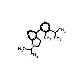 Cc1c(-c2cccc3c2CCN3C(C)C)cccc1C(C)C